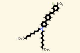 CCCCCCCCCCCCCCCCCCN(CCCCCCCCCCCCCCCCCC)c1ccc(-c2ccc(C=Cc3ccc([N+](=O)[O-])c(F)c3)cc2)cc1